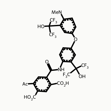 CNc1ccc(Oc2ccc(NC(=O)c3cc(C(C)=O)c(C(=O)O)cc3C(=O)O)c(C(O)(C(F)(F)F)C(F)(F)F)c2)cc1C(O)(C(F)(F)F)C(F)(F)F